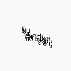 Cc1c(NC(=O)c2cn(C)c(=O)n(C)c2=O)cccc1-c1cccc(-c2ccc(CNCC3CCC(=O)N3)c(C(F)(F)F)n2)c1Cl